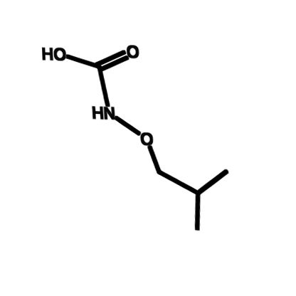 CC(C)CONC(=O)O